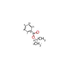 [CH2][C@@H](C)OC(=O)c1ccccc1